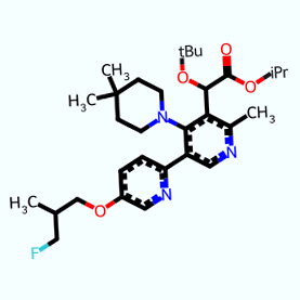 Cc1ncc(-c2ccc(OCC(C)CF)cn2)c(N2CCC(C)(C)CC2)c1C(OC(C)(C)C)C(=O)OC(C)C